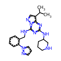 CC(C)c1cnn2c(NCc3ccccc3-n3cccn3)nc(NC3CCCNC3)nc12